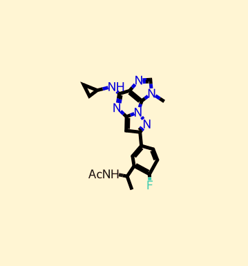 CC(=O)NC(C)c1cc(-c2cc3nc(NC4CC4)c4ncn(C)c4n3n2)ccc1F